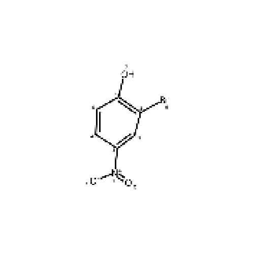 O=[N+]([O-])c1[c]cc(O)c(Br)c1